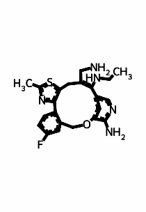 CCN/C1=C(\CN)Cc2sc(C)nc2-c2ccc(F)cc2COc2cc1cnc2N